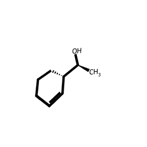 C[C@H](O)[C@@H]1C=CCCC1